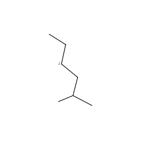 CC[C]CC(C)C